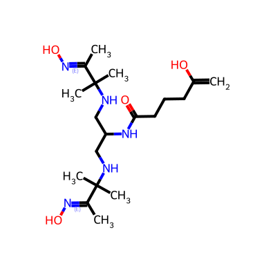 C=C(O)CCCC(=O)NC(CNC(C)(C)/C(C)=N/O)CNC(C)(C)/C(C)=N/O